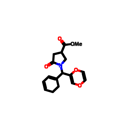 COC(=O)C1CC(=O)N(C(C2=CC=CCC2)C2=COC=CO2)C1